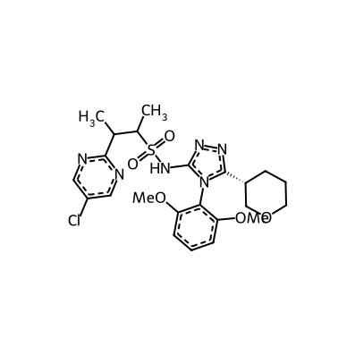 COc1cccc(OC)c1-n1c(NS(=O)(=O)C(C)C(C)c2ncc(Cl)cn2)nnc1[C@@H]1CCCOC1